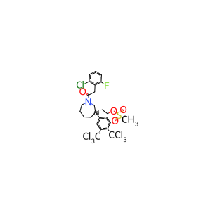 CS(=O)(=O)OCC[C@]1(c2ccc(C(Cl)(Cl)Cl)c(C(Cl)(Cl)Cl)c2)CCCCN(C(=O)Cc2c(F)cccc2Cl)C1